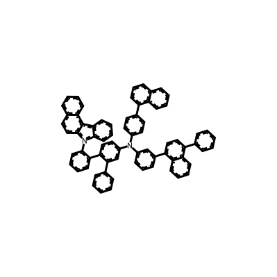 c1ccc(-c2cc(N(c3ccc(-c4cccc5ccccc45)cc3)c3cccc(-c4ccc(-c5ccccc5)c5ccccc45)c3)ccc2-c2ccccc2-n2c3ccccc3c3c4ccccc4ccc32)cc1